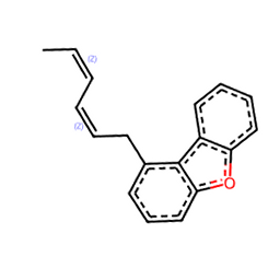 C/C=C\C=C/Cc1cccc2oc3ccccc3c12